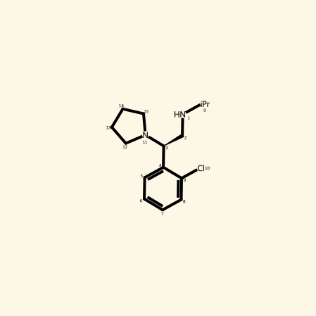 CC(C)NC[C@@H](c1ccccc1Cl)N1CCCC1